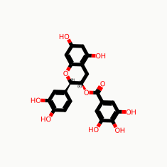 O=C(O[C@@H]1CC2=C(O)CC(O)C=C2O[C@@H]1c1ccc(O)c(O)c1)c1cc(O)c(O)c(O)c1